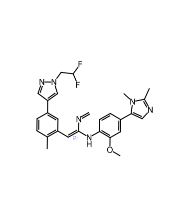 C=N/C(=C\c1cc(-c2cnn(CC(F)F)c2)ccc1C)Nc1ccc(-c2cnc(C)n2C)cc1OC